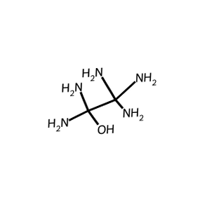 NC(N)(N)C(N)(N)O